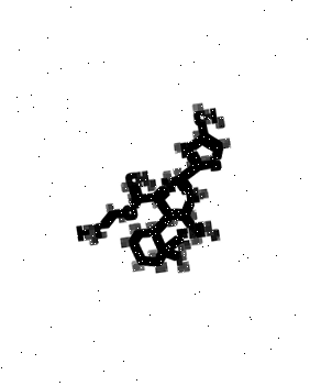 C=C(OCC)c1nc(-c2nc(C)cs2)nc(N)c1C1CCCCC1(F)F